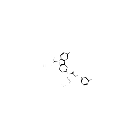 CCC(C(=O)O)n1c2c(c3cc(F)ccc31)CC(N(CCOC)C(=O)COc1cccc(Cl)c1)CC2